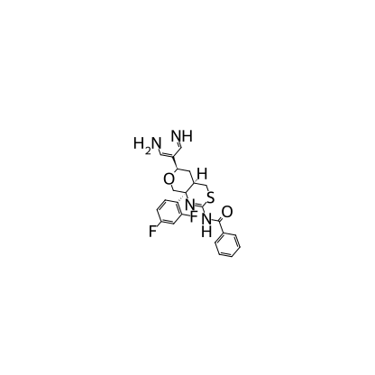 N=C/C(=C\N)[C@H]1C[C@H]2CSC(NC(=O)c3ccccc3)=N[C@@]2(c2ccc(F)cc2F)CO1